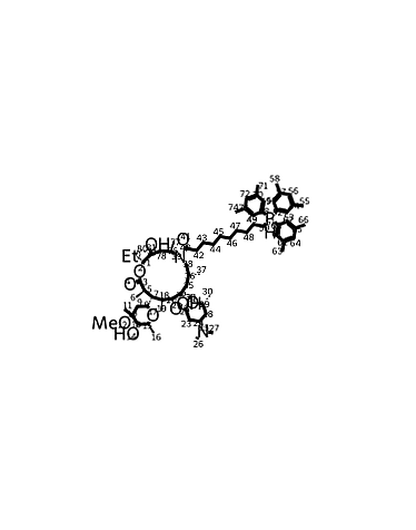 CC[C@H]1OC(=O)[C@H](C)[C@@H](C2C[C@@](C)(OC)[C@@H](O)[C@H](C)O2)[C@H](C)[C@@H](O[C@H]2C[C@@H](N(C)C)C[C@@H](C)O2)[C@](C)(O)C[C@@H](C)CN(C(=O)CCCCCCCCC[PH](c2cc(C)cc(C)c2)(c2cc(C)cc(C)c2)c2cc(C)cc(C)c2)[C@H](C)C[C@]1(C)O